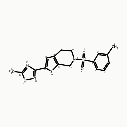 Cc1cccc(S(=O)(=O)N2CCc3cc(-c4noc(C(F)(F)F)n4)sc3C2)c1